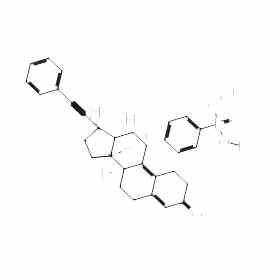 CCOP(=O)(OCC)c1ccc([C@H]2C[C@@]3(C)[C@@H](CC[C@@]3(O)C#Cc3ccccc3)[C@@H]3CCC4=CC(=O)CCC4=C32)cc1